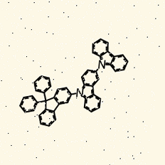 c1ccc(C2(c3ccccc3)c3ccccc3-c3cc(-n4c5ccccc5c5cc(-n6c7ccccc7c7ccccc76)ccc54)ccc32)cc1